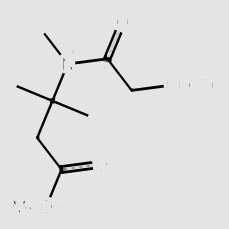 CCOC(=O)CC(=O)N(C)C(C)(C)CC(=O)OC